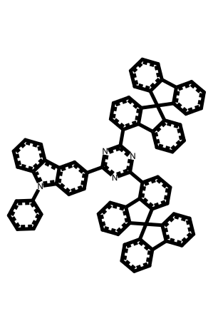 c1ccc(-n2c3ccccc3c3cc(-c4nc(-c5cccc6c5-c5ccccc5C65c6ccccc6-c6ccccc65)nc(-c5cccc6c5-c5ccccc5C65c6ccccc6-c6ccccc65)n4)ccc32)cc1